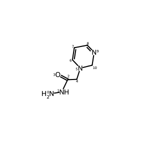 NNC(=O)CN1C=CC=NC1